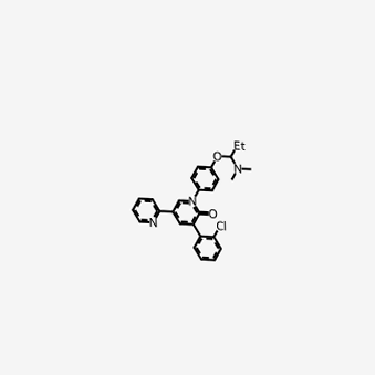 CCC(Oc1ccc(-n2cc(-c3ccccn3)cc(-c3ccccc3Cl)c2=O)cc1)N(C)C